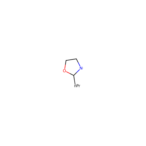 CCCC1[N]CCO1